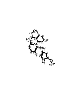 CC(C)Oc1cc(Nc2nc(N[C@@H](CO)c3ccc(F)cc3)ncc2F)n[nH]1